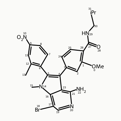 COc1cc(-c2c(-c3ccc([N+](=O)[O-])cc3C)n(C)c3c(Br)cnc(N)c23)ccc1C(=O)NCC(C)C